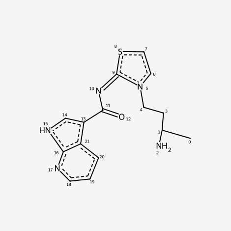 CC(N)CCn1ccsc1=NC(=O)c1c[nH]c2ncccc12